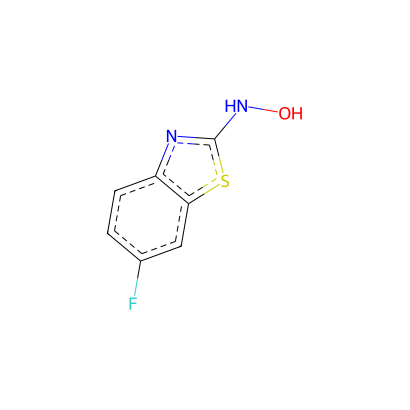 ONc1nc2ccc(F)cc2s1